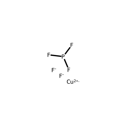 FP(F)F.[Cu+2].[F-].[F-]